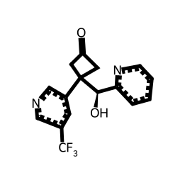 O=C1CC(c2cncc(C(F)(F)F)c2)([C@H](O)c2ccccn2)C1